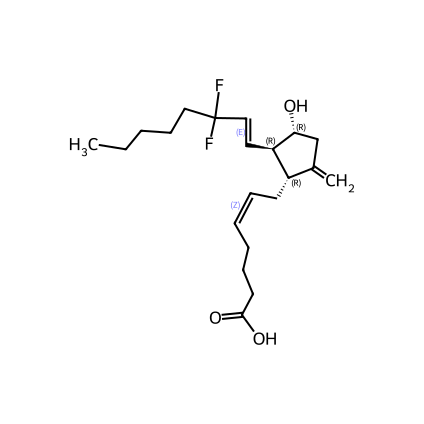 C=C1C[C@@H](O)[C@H](/C=C/C(F)(F)CCCCC)[C@H]1C/C=C\CCCC(=O)O